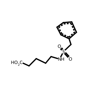 O=C(O)CCCCNS(=O)(=O)Cc1ccccc1